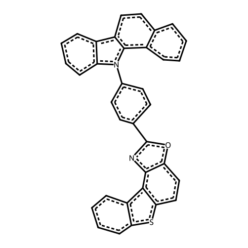 c1ccc2c(c1)ccc1c3ccccc3n(-c3ccc(-c4nc5c(ccc6sc7ccccc7c65)o4)cc3)c21